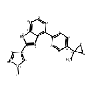 Cn1cc(-c2nc3c(-c4ccc(C5(N)CC5)cc4)ccnc3[nH]2)cn1